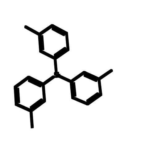 Cc1cccc([Si](c2cccc(C)c2)c2cccc(C)c2)c1